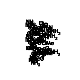 CC[C@H]1O[C@@H](n2cnc3c(N)ncnc32)C[C@H]1OP(=O)(S)OC[C@H]1O[C@@H](n2cnc3c(N)ncnc32)C(OCCOC)[C@H]1OP(=O)(O)OC[C@H]1O[C@@H](n2cc(C)c(N)nc2=O)C(OCCOC)[C@H]1OP(=O)(O)OC[C@H]1O[C@@H](n2cnc3c(N)ncnc32)C(OCCOC)[C@H]1OP(=O)(S)OC[C@H]1O[C@@H](n2cnc3c(N)ncnc32)C(OCCOC)[C@H]1OP(=O)(S)OC[C@H]1O[C@@H](n2cc(C)c(N)nc2=O)C(OCCOC)[C@H]1O